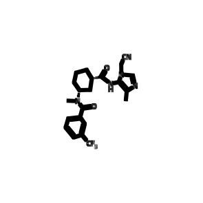 Cc1ncn(CC#N)c1NC(=O)[C@H]1CCC[C@@H](N(C)C(=O)c2cccc(C(F)(F)F)c2)C1